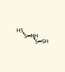 SSNSS